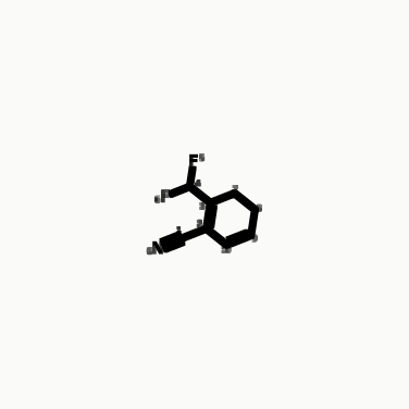 N#CC1=C(C(F)F)[CH]CC=C1